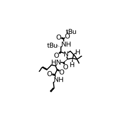 C=CCNC(=O)C(=O)C(C/C=C/C)NC(=O)[C@@H]1[C@@H]2[C@H](CN1C(=O)[C@@H](NC(=O)OC(C)(C)C)C(C)(C)C)C2(C)C